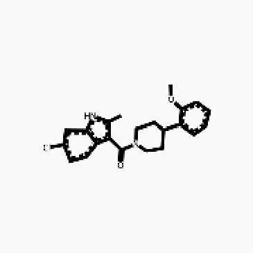 COc1ccccc1C1CCN(C(=O)c2c(C)[nH]c3cc(Cl)ccc23)CC1